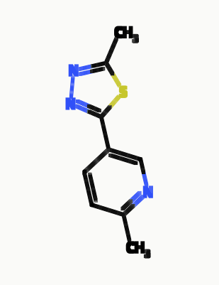 Cc1ccc(-c2nnc(C)s2)cn1